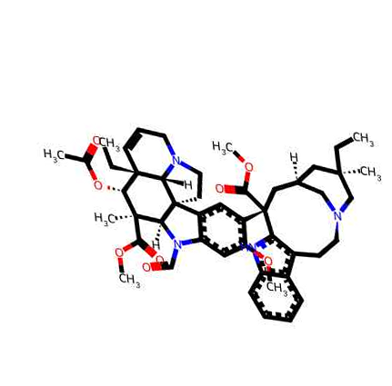 CC[C@]1(C)C[C@H]2C[N@](CCc3c([nH]c4ccccc34)[C@@](C(=O)OC)(c3cc4c(cc3OC)N(C=O)[C@H]3[C@@](C)(C(=O)OC)[C@H](OC(C)=O)[C@]5(CC)C=CCN6CC[C@]43[C@@H]65)C2)C1